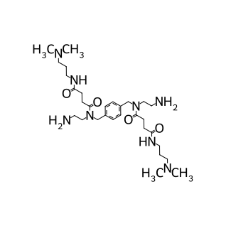 CN(C)CCCNC(=O)CCC(=O)N(CCN)Cc1ccc(CN(CCN)C(=O)CCC(=O)NCCCN(C)C)cc1